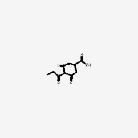 CCC(=O)C1C(=O)CC(C(=O)O)CC1=O